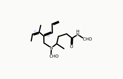 C=C/C=C(CN(C=O)C(C)CCC(=O)NC=O)\C(C)=C/C